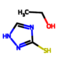 CCO.Sc1nc[nH]n1